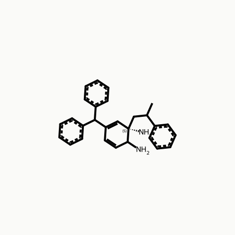 CC(C[C@]1(N)C=C(C(c2ccccc2)c2ccccc2)C=CC1N)c1ccccc1